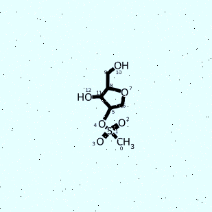 CS(=O)(=O)OC1[CH]OC(CO)C1O